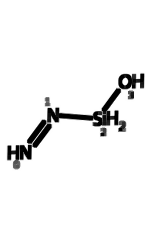 N=N[SiH2]O